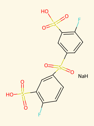 O=S(=O)(O)c1cc(S(=O)(=O)c2ccc(F)c(S(=O)(=O)O)c2)ccc1F.[NaH]